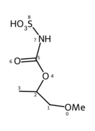 COCC(C)OC(=O)NS(=O)(=O)O